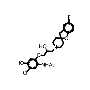 CC(=O)Nc1cc(Cl)c(O)cc1OC[C@@H](O)CN1CCC2(CC1)Cc1cc(F)ccc1O2